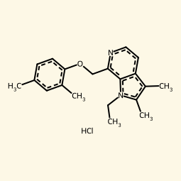 CCn1c(C)c(C)c2ccnc(COc3ccc(C)cc3C)c21.Cl